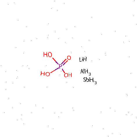 O=P(O)(O)O.[AlH3].[LiH].[SbH3]